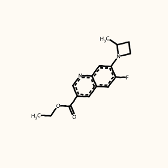 CCOC(=O)c1cnc2cc(N3CCC3C)c(F)cc2c1